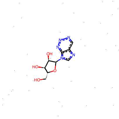 OC[C@H]1OC(n2cnc3cnnnc32)[C@H](O)[C@@H]1O